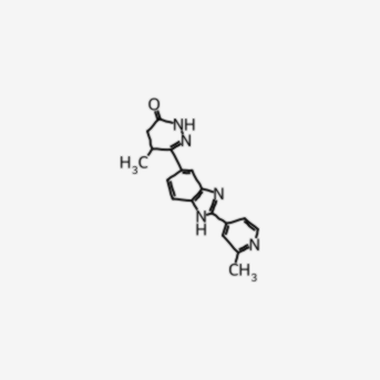 Cc1cc(-c2nc3cc(C4=NNC(=O)CC4C)ccc3[nH]2)ccn1